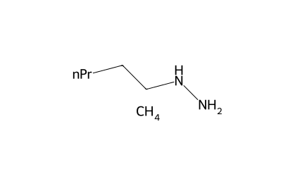 C.CCCCCNN